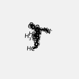 C#CCN1CCC(C(F)(F)c2cccc(C(C)Nc3ncnc4c3cc(C3CCS(=O)(=O)CC3)c(=O)n4CCCCN=[N+]=[N-])c2F)CC1